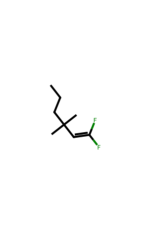 CCCC(C)(C)C=C(F)F